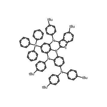 CC(C)(C)c1ccc(N(c2ccc(C(C)(C)C)cc2)c2ccc3c(c2)N(c2ccc(C(C)(C)C)cc2)c2cc([Si](c4ccccc4)(c4ccccc4)c4ccccc4)cc4c2B3c2sc3ccc(C(C)(C)C)cc3c2N4c2ccc(C(C)(C)C)cc2)cc1